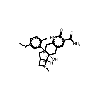 COc1ccc(C)c([C@@]23Cc4[nH]c(=O)c(C(N)=O)cc4C[C@@]2(O)[C@H]2C(CN2C)C3)c1